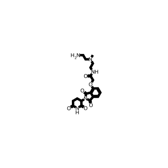 CN(CCN)CCNC(=O)COc1cccc2c1C(=O)N(C1CCC(=O)NC1=O)C2=O